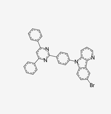 Brc1ccc2c(c1)c1ncccc1n2-c1ccc(-c2nc(-c3ccccc3)cc(-c3ccccc3)n2)cc1